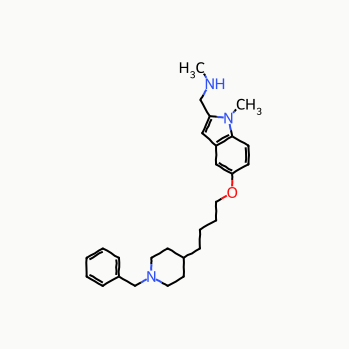 CNCc1cc2cc(OCCCCC3CCN(Cc4ccccc4)CC3)ccc2n1C